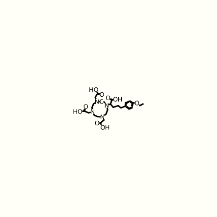 CCOc1ccc(CCCC(C(=O)O)N2CCN(CC(=O)O)CCN(CC(=O)O)CCN(CC(=O)O)CC2)cc1